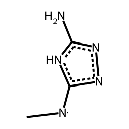 C[N]c1nnc(N)[nH]1